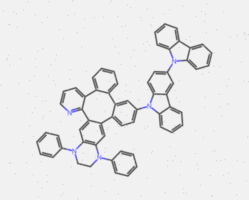 c1ccc(N2CCN(c3ccccc3)c3cc4c(cc32)-c2ccc(-n3c5ccccc5c5cc(-n6c7ccccc7c7ccccc76)ccc53)cc2-c2ccccc2-c2cccnc2-4)cc1